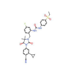 CCS(=O)(=O)c1ccc(NC(=O)Nc2cc(F)ccc2CN2C(=O)N(c3ccc(C#N)c(C4CC4)c3)C(=O)C2(C)C)cc1